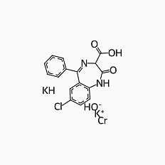 O=C(O)C1N=C(c2ccccc2)c2cc(Cl)ccc2NC1=O.[Cr].[K+].[KH].[OH-]